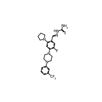 NC(=S)N/N=C/c1cc(F)c(N2CCN(c3cccc(C(F)(F)F)c3)CC2)cc1N1CCCC1